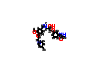 COc1cc(CN(C)CC(O)COc2cccc(NC(C)=O)c2)ccc1OCCN1CCC(C)CC1